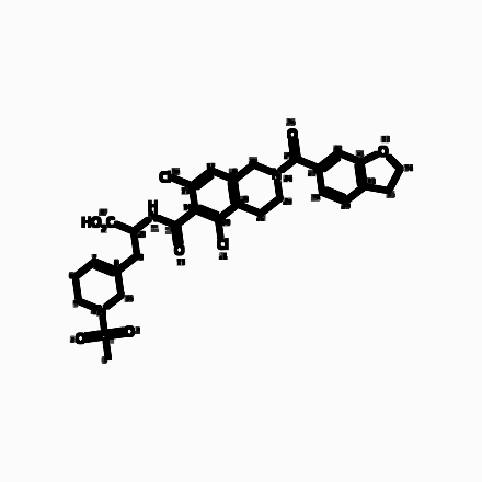 CS(=O)(=O)N1CCC=C(CC(NC(=O)c2c(Cl)cc3c(c2Cl)CCN(C(=O)c2ccc4c(c2)OCC4)C3)C(=O)O)C1